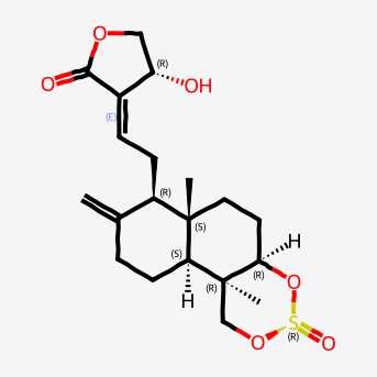 C=C1CC[C@@H]2[C@]3(C)CO[S@](=O)O[C@@H]3CC[C@@]2(C)[C@@H]1C/C=C1/C(=O)OC[C@@H]1O